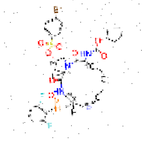 O=C(N[C@H]1CCCCC/C=C\[C@@H]2C[C@@]2([PH](=O)Cc2c(F)cccc2F)NC(=O)[C@@H]2C[C@H](OS(=O)(=O)c3ccc(Br)cc3)CN2C1=O)OC1CCCC1